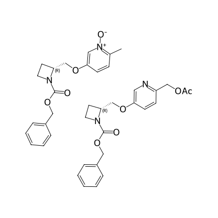 CC(=O)OCc1ccc(OC[C@H]2CCN2C(=O)OCc2ccccc2)cn1.Cc1ccc(OC[C@H]2CCN2C(=O)OCc2ccccc2)c[n+]1[O-]